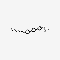 CCCCCCCCC1CC=C(c2ccc(-c3ccc(OC(=O)CC)cc3)cc2)CC1